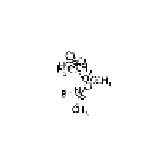 CCCc1sc(-c2ccc(OC)c(OCCCC(C)(C)[Si](O)(c3ccccc3)c3ccccc3)c2)nc1CBr